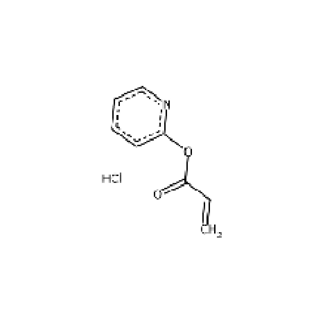 C=CC(=O)Oc1ccccn1.Cl